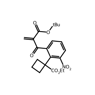 C=C(C(=O)OC(C)(C)C)C(=O)c1cccc([N+](=O)[O-])c1C1(C(=O)OCC)CCC1